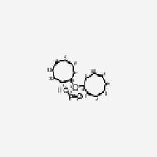 C1CCCC(OC2CCCCCCC2)CCC1.O=PO